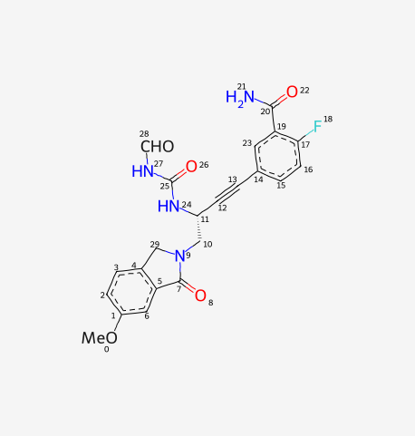 COc1ccc2c(c1)C(=O)N(C[C@@H](C#Cc1ccc(F)c(C(N)=O)c1)NC(=O)NC=O)C2